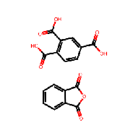 O=C(O)c1ccc(C(=O)O)c(C(=O)O)c1.O=C1OC(=O)c2ccccc21